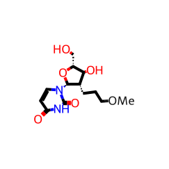 COCCC[C@H]1C(O)[C@@H](CO)O[C@H]1n1ccc(=O)[nH]c1=O